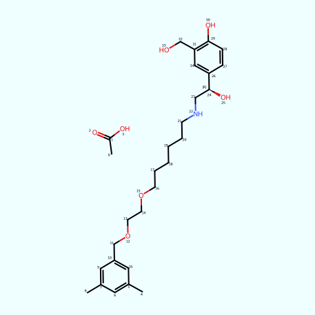 CC(=O)O.Cc1cc(C)cc(COCCOCCCCCCNC[C@H](O)c2ccc(O)c(CO)c2)c1